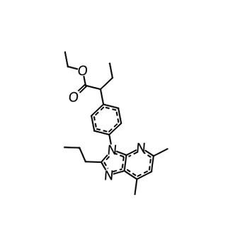 CCCc1nc2c(C)cc(C)nc2n1-c1ccc(C(CC)C(=O)OCC)cc1